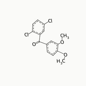 COc1ccc(C(=O)c2cc(Cl)ccc2Cl)cc1OC